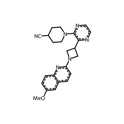 COc1ccc2nc(N3CC(c4nccnc4N4CCC(C#N)CC4)C3)ccc2c1